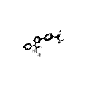 CN(C)C(=O)c1ccc(-c2cccc(C(C(=O)NO)c3ccccc3)c2)cc1